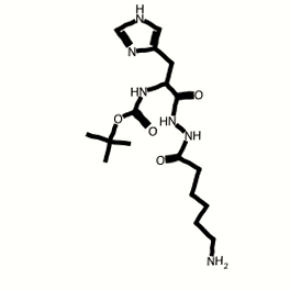 CC(C)(C)OC(=O)NC(Cc1c[nH]cn1)C(=O)NNC(=O)CCCCCN